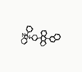 C1=Cc2c(nc(-c3ccccc3)n2C2=CC=C(c3c4c(c(-c5ccc6ccccc6c5)c5ccccc35)=CCCC=4)CC2)CC1